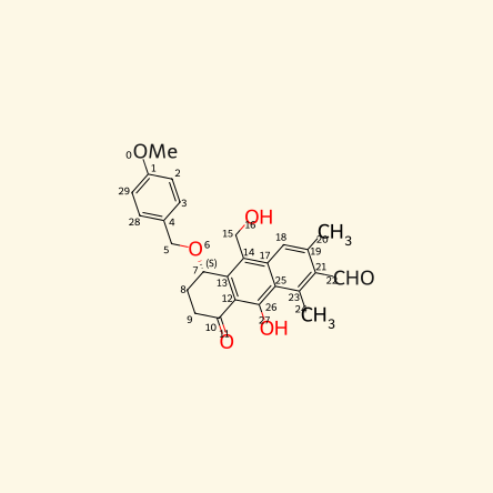 COc1ccc(CO[C@H]2CCC(=O)c3c2c(CO)c2cc(C)c(C=O)c(C)c2c3O)cc1